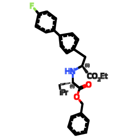 CCOC(=O)[C@H](Cc1ccc(-c2ccc(F)cc2)cc1)N[C@@H](CC(C)C)C(=O)OCc1ccccc1